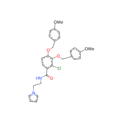 COc1ccc(COc2ccc(C(=O)NCCn3cccc3)c(Cl)c2OCc2ccc(OC)cc2)cc1